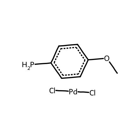 COc1ccc(P)cc1.[Cl][Pd][Cl]